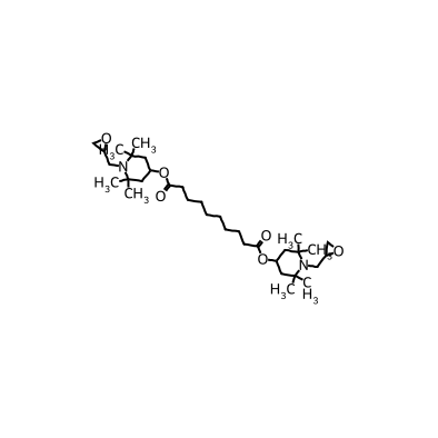 CC1(C)CC(OC(=O)CCCCCCCCC(=O)OC2CC(C)(C)N(CC3CO3)C(C)(C)C2)CC(C)(C)N1CC1CO1